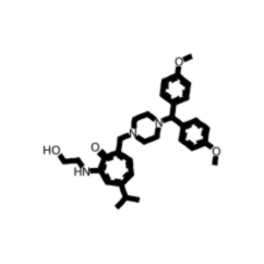 COc1ccc(C(c2ccc(OC)cc2)N2CCN(Cc3ccc(C(C)C)cc(NCCO)c3=O)CC2)cc1